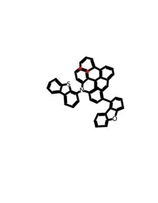 c1ccc(-c2cccc3cccc(-c4ccccc4N(c4ccc(-c5cccc6oc7ccccc7c56)cc4)c4cccc5c4sc4ccccc45)c23)cc1